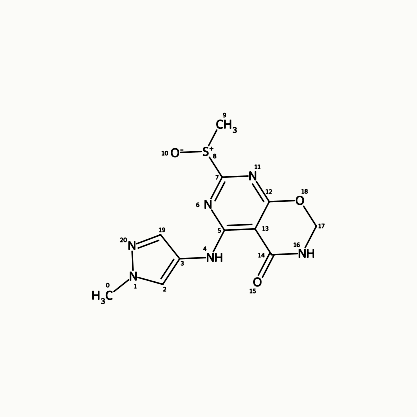 Cn1cc(Nc2nc([S+](C)[O-])nc3c2C(=O)NCO3)cn1